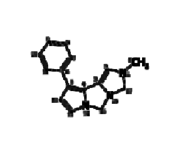 CN1C=C2c3c(-c4ccccc4)ccn3CN2C1